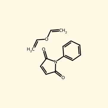 C=COC=C.O=C1C=CC(=O)N1c1ccccc1